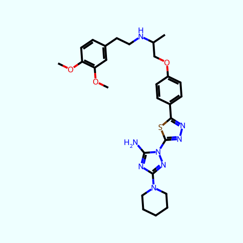 COc1ccc(CCNC(C)COc2ccc(-c3nnc(-n4nc(N5CCCCC5)nc4N)s3)cc2)cc1OC